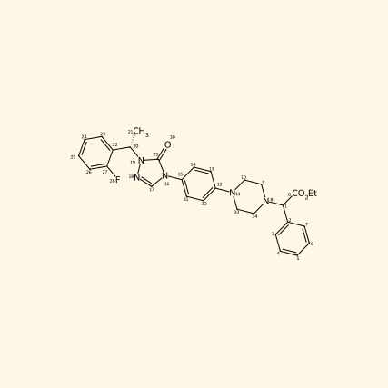 CCOC(=O)C(c1ccccc1)N1CCN(c2ccc(-n3cnn([C@@H](C)c4ccccc4F)c3=O)cc2)CC1